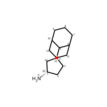 N[C@H]1CCN(C2C3CCCC2CCC3)C1